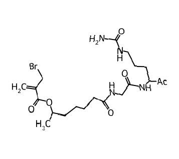 C=C(CBr)C(=O)OC(C)CCCCC(=O)NCC(=O)NC(CCCNC(N)=O)C(C)=O